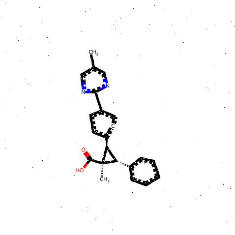 Cc1cnc(-c2ccc([C@H]3[C@H](c4ccccc4)[C@@]3(C)C(=O)O)cc2)nc1